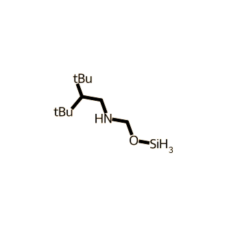 CC(C)(C)C(CNCO[SiH3])C(C)(C)C